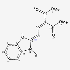 COC(=O)C(=C/C=C1\Oc2ccccc2N1C)C(=O)OC